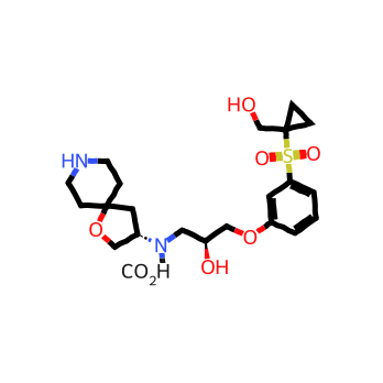 O=C(O)N(C[C@H](O)COc1cccc(S(=O)(=O)C2(CO)CC2)c1)[C@@H]1COC2(CCNCC2)C1